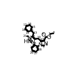 CCOC(=O)c1ncn2c1CC1=C(Cc3ccccc3)N(C)NN1c1ccccc1-2